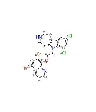 Clc1cc(Cl)c2c(c1)c1c(n2CCOc2c(Br)cc(Br)c3cccnc23)CCNCC1